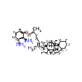 CC(CCC[C@@H](C)[C@H]1CC[C@H]2[C@@H]3CCC4CCCC[C@]4(C)[C@H]3CC[C@]12C)COc1cccc(N)c1N